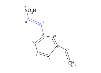 C=Cc1cccc(/N=N/S(=O)(=O)O)c1